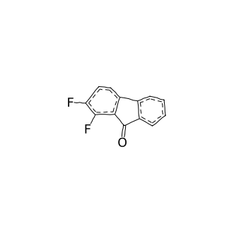 O=C1c2ccccc2-c2ccc(F)c(F)c21